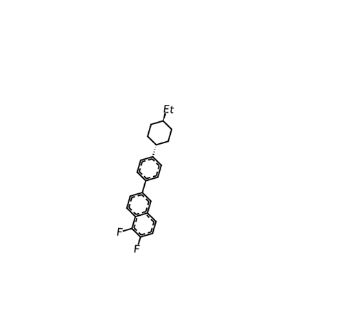 CC[C@H]1CC[C@H](c2ccc(-c3ccc4c(F)c(F)ccc4c3)cc2)CC1